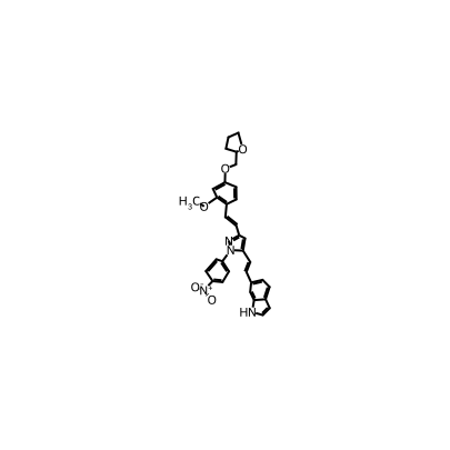 COc1cc(OCC2CCCO2)ccc1/C=C/c1cc(/C=C/c2ccc3cc[nH]c3c2)n(-c2ccc([N+](=O)[O-])cc2)n1